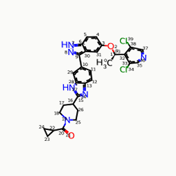 C[C@@H](Oc1ccc2[nH]nc(-c3ccc4nc(C5CCN(C(=O)C6CC6)CC5)[nH]c4c3)c2c1)c1c(Cl)cncc1Cl